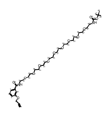 C#CCOc1cccc(C(=O)NCCOCCOCCOCCOCCOCCOCCOCCOCCOCCNC(=O)OC(C)(C)C)c1